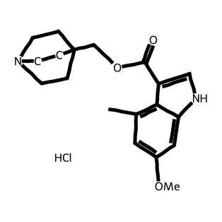 COc1cc(C)c2c(C(=O)OCC34CCN(CC3)CC4)c[nH]c2c1.Cl